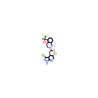 C[C@H]1c2cccc(C(C)(O)C(F)F)c2CCN1C(=O)Cc1c(Cl)cnc2c1c(Cl)nn2C